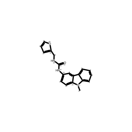 Cn1c2ccccc2c2cc(NC(=O)NCc3ccco3)ccc21